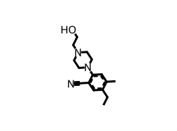 CCc1cc(C#N)c(N2CCN(CCO)CC2)cc1C